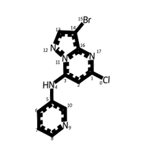 Clc1cc(Nc2cccnc2)n2ncc(Br)c2n1